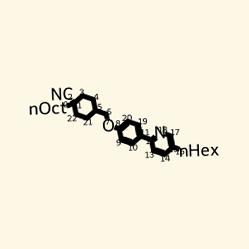 CCCCCCCCC1(C#N)CCC(COc2ccc(-c3ccc(CCCCCC)cn3)cc2)CC1